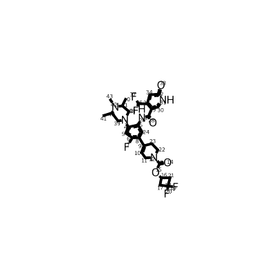 CC1CN(c2cc(F)c(C3=CCN(C(=O)OC4CC(F)(F)C4)CC3)cc2NC(=O)c2c[nH]c(=O)cc2C(F)F)CC(C)N1C